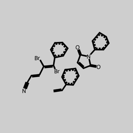 C=Cc1ccccc1.N#CC=CC(Br)=C(Br)c1ccccc1.O=C1C=CC(=O)N1c1ccccc1